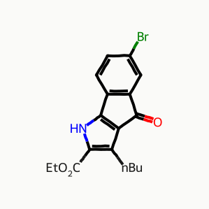 CCCCc1c(C(=O)OCC)[nH]c2c1C(=O)c1cc(Br)ccc1-2